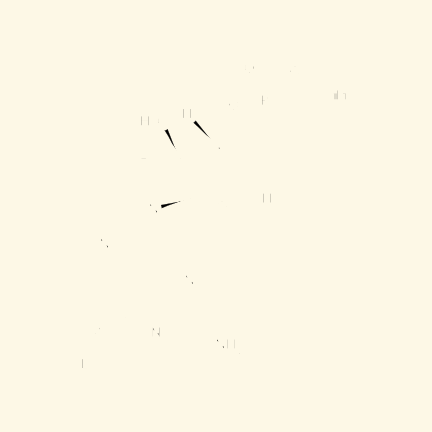 CCOc1nc(N)nc2c1ncn2[C@@H]1O[C@@H]2CCP(=O)(OC(C)C)O[C@H]2[C@@]1(C)F